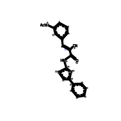 CC(=O)Nc1cccc(/C=C(\C#N)C(=O)Nc2nc(-c3ccccc3)cs2)c1